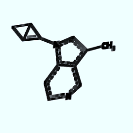 Cc1cn(C2=C3CC32)c2ccncc12